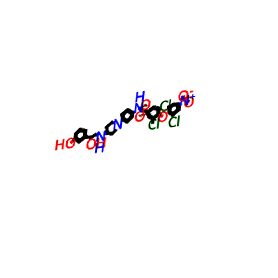 O=[N+]([O-])c1ccc(Oc2c(Cl)cc(S(=O)(=O)Nc3ccc(N4CCC(NCC(O)c5cccc(O)c5)CC4)cc3)cc2Cl)c(Cl)c1